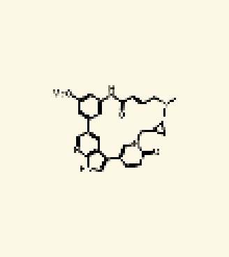 COc1cc(NC(=O)C=CCN(C)C)cc(-c2cnc3[nH]cc(-c4ccc(=O)n(CC5CC5)c4)c3c2)c1